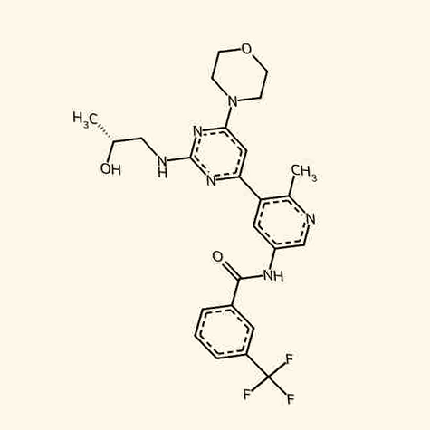 Cc1ncc(NC(=O)c2cccc(C(F)(F)F)c2)cc1-c1cc(N2CCOCC2)nc(NC[C@@H](C)O)n1